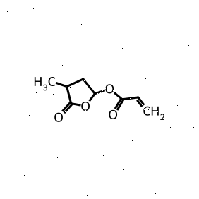 C=CC(=O)OC1CC(C)C(=O)O1